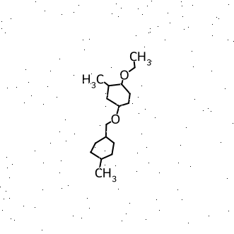 CCOC1CCC(OCC2CCC(C)CC2)CC1C